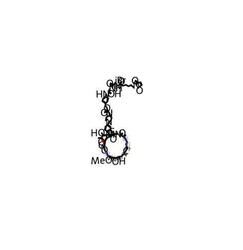 CO[C@H]1/C=C/O[C@@]2(C)Oc3c(C)c(O)c4c(=O)c(c5sc6cc(N7CCC(N(C)C(=O)OCc8ccc(NC(=O)CNC(=O)C(NC(=O)CCCCCN9C(=O)C=CC9=O)C(C)C)cc8)CC7)ccc6nc-5c4c3C2=O)NC(=O)/C(C)=C\C=C\[C@H](C)C[C@@H](C)C[C@@H](C)[C@H](O)[C@@H]1C